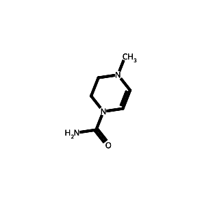 CN1C=CN(C(N)=O)CC1